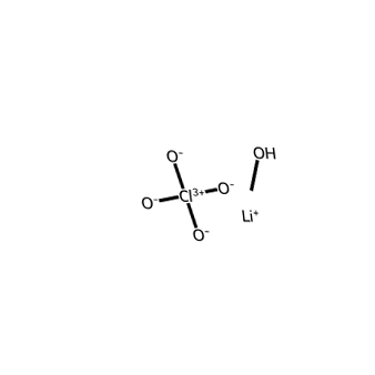 CO.[Li+].[O-][Cl+3]([O-])([O-])[O-]